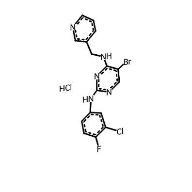 Cl.Fc1ccc(Nc2ncc(Br)c(NCc3cccnc3)n2)cc1Cl